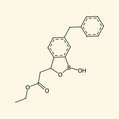 CCOC(=O)CC1OB(O)c2cc(Cc3ccccc3)ccc21